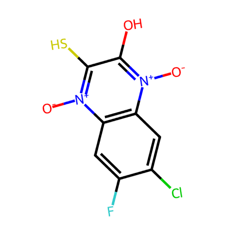 [O-][n+]1c(O)c(S)[n+]([O-])c2cc(F)c(Cl)cc21